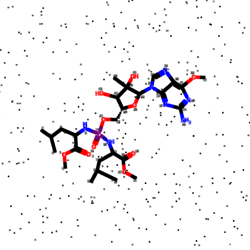 COC(=O)C(CC(C)C)NP(=O)(NC(CC(C)C)C(=O)OC)OC[C@H]1OC(n2cnc3c(OC)nc(N)nc32)C(C)(O)C1O